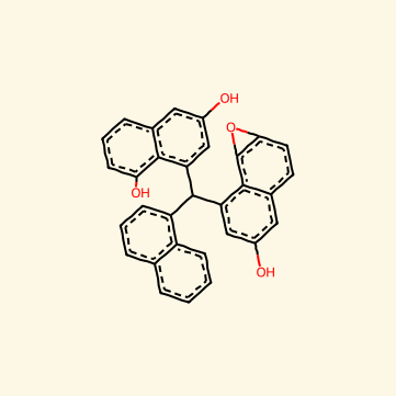 Oc1cc(C(c2cccc3ccccc23)c2cc(O)cc3ccc4c(c23)O4)c2c(O)cccc2c1